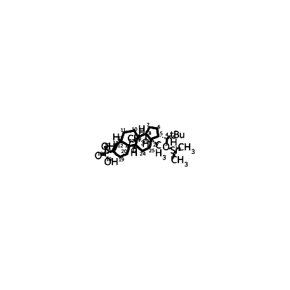 C[SiH](C)OC([C@H]1CC[C@H]2[C@@H]3CC[C@H]4C=C(P(=O)(O)O)CC[C@]4(C)[C@H]3CC[C@]12C)C(C)(C)C